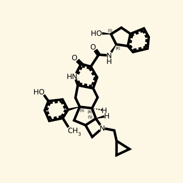 Cc1ccc(O)cc1[C@@]12Cc3[nH]c(=O)c(C(=O)N[C@@H]4c5ccccc5C[C@@H]4O)cc3C[C@H]1[C@H]1C(CN1CC1CC1)C2